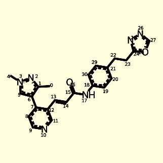 Cc1nn(C)cc1-c1ccncc1C=CC(=O)Nc1ccc(CCc2nnco2)cc1